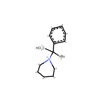 CCCCC(C(=O)O)(c1ccccc1)N1CCCCC1